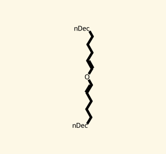 CCCCCCCCCCCCCC=COC=CCCCCCCCCCCCCC